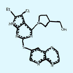 CCc1[nH]c2nc(Sc3cnc4nccnc4c3)nc(N3CCC(CO)C3)c2c1Cl